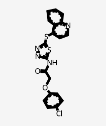 O=C(COc1ccc(Cl)cc1)Nc1nnc(Sc2ccnc3ccccc23)s1